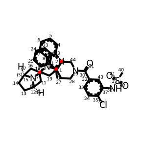 Cc1nc2ccccc2n1C1C[C@H]2CC[C@@H](C1)N2CCC1(c2ccccc2)CCN(C(=O)c2ccc(Cl)c(NS(C)(=O)=O)c2)CC1